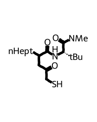 CCCCCCCC(CC(=O)CS)C(=O)N[C@H](C(=O)NC)C(C)(C)C